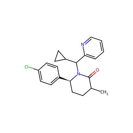 CC1CC[C@@H](c2ccc(Cl)cc2)N(C(c2ccccn2)C2CC2)C1=O